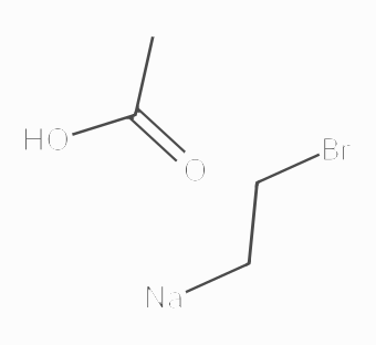 CC(=O)O.[Na][CH2]CBr